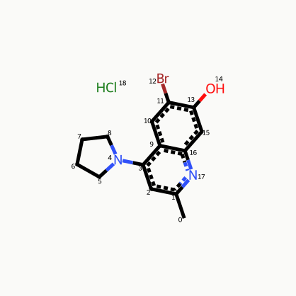 Cc1cc(N2CCCC2)c2cc(Br)c(O)cc2n1.Cl